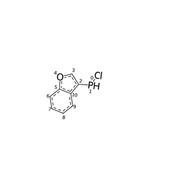 ClPc1coc2ccccc12